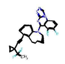 CC(F)(F)C1(C#Cc2cccc3c2CCCCN3c2nc3nncn3c3ccc(F)c(F)c23)CC1